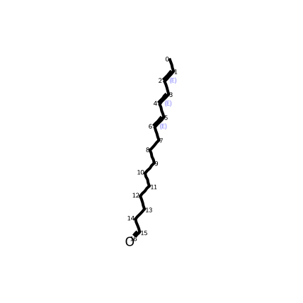 C/C=C/C=C/C=C/CCCCCCCCC=O